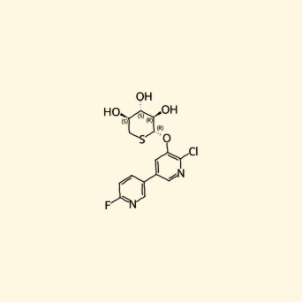 O[C@@H]1[C@@H](O)[C@H](Oc2cc(-c3ccc(F)nc3)cnc2Cl)SC[C@H]1O